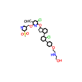 CS(=O)(=O)c1cncc(COc2nc(O[C@H]3CCc4c(-c5cccc(-c6ccc(OCCNCCO)cc6)c5Cl)cccc43)c(Cl)cc2C=O)c1